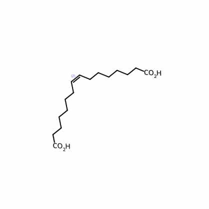 O=C(O)CCCCCC/C=C\CCCCCCC(=O)O